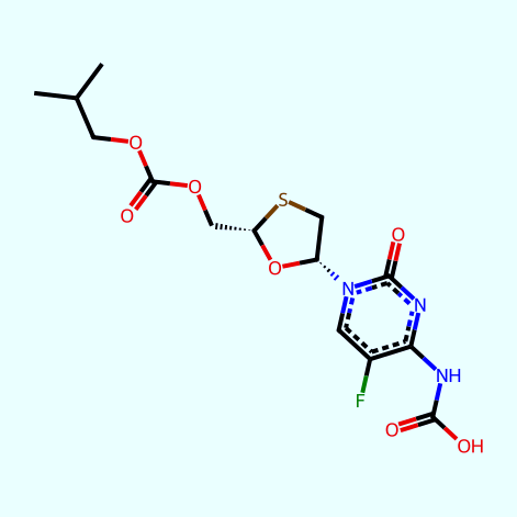 CC(C)COC(=O)OC[C@H]1O[C@@H](n2cc(F)c(NC(=O)O)nc2=O)CS1